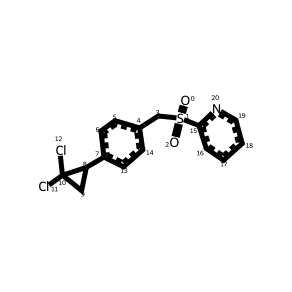 O=S(=O)(Cc1ccc(C2CC2(Cl)Cl)cc1)c1ccccn1